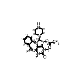 Cn1c2c(c(=O)n(C)c1=O)N(c1ccccc1C(F)F)C(N1CCNCC1)N2OC(=O)C(F)(F)F